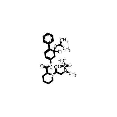 CC(C)OC1(Cl)CC(NC(=O)C2CCCCN2C(=O)CN(C)S(C)(=O)=O)=CC=C1c1ccccc1